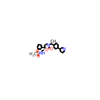 C[C@@H](c1ccc(-c2cccnc2)cc1)N1CC[C@](CCNS(C)(=O)=O)(c2ccccc2)OC1=O